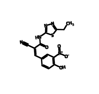 CCc1nnc(NC(=O)C(C#N)=Cc2ccc(O)c([N+](=O)[O-])c2)s1